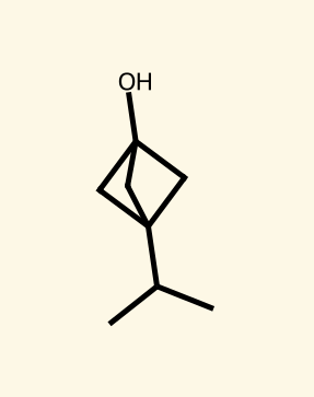 CC(C)C12CC(O)(C1)C2